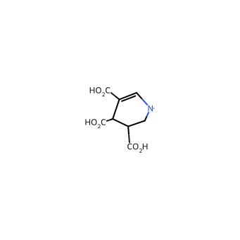 O=C(O)C1=C[N]CC(C(=O)O)C1C(=O)O